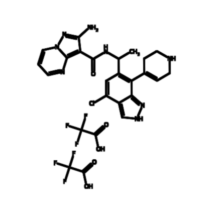 CC(NC(=O)c1c(N)nn2cccnc12)c1cc(Cl)c2c[nH]nc2c1C1=CCNCC1.O=C(O)C(F)(F)F.O=C(O)C(F)(F)F